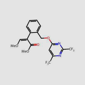 COC=C(C(=O)OC)c1ccccc1COc1cc(C(F)(F)F)nc(C(F)(F)F)n1